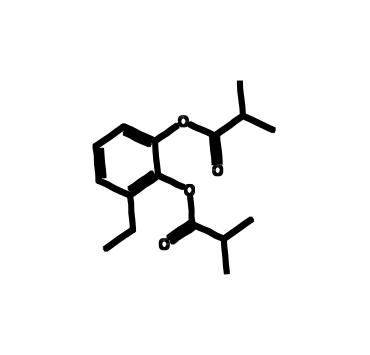 CCc1cccc(OC(=O)C(C)C)c1OC(=O)C(C)C